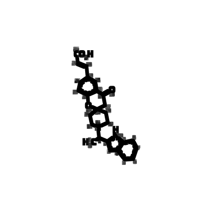 CC(c1cc2ccccc2[nH]1)N1CCC2(CC1)CC(=O)c1cc(/C=C/C(=O)O)ccc1O2